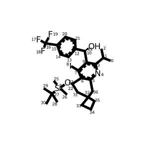 CC(C)c1nc2c(c(I)c1[C@H](O)c1ccc(C(F)(F)F)cc1)C(O[Si](C)(C)C(C)(C)C)CC1(CCC1)C2